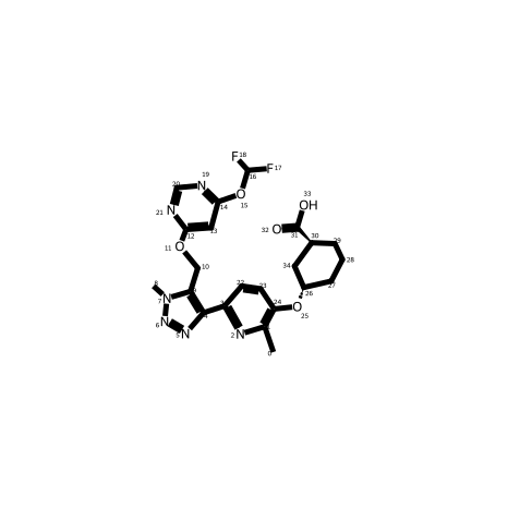 Cc1nc(-c2nnn(C)c2COc2cc(OC(F)F)ncn2)ccc1O[C@H]1CCC[C@H](C(=O)O)C1